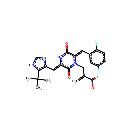 C=C(Cn1c(=O)/c(=C/c2nc[nH]c2C(C)(C)C)[nH]c(=O)/c1=C/c1cc(F)ccc1F)C(=O)O